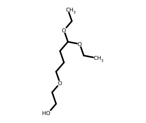 CCOC(CCCOCCO)OCC